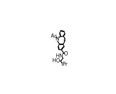 CC(=O)N1Cc2ccc(C(=O)NCC(O)C(C)C)cc2/C=C\c2ccccc21